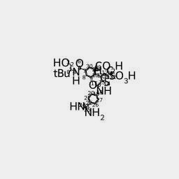 CC(C)(C)C(CO)NC(=O)c1ccc(-c2ccsc2C(=O)Nc2ccc(C(=N)N)cc2)c(C(=O)O)c1.CS(=O)(=O)O